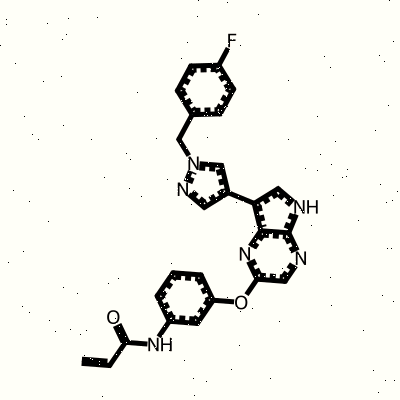 C=CC(=O)Nc1cccc(Oc2cnc3[nH]cc(-c4cnn(Cc5ccc(F)cc5)c4)c3n2)c1